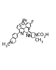 CC(C)Oc1cc(F)cc(F)c1-c1c(-c2cc3n(n2)C[C@@H](C)N(C(=O)O)C3)nc(-c2ccc3c(c2)CCN(C)C3)c2ccsc12